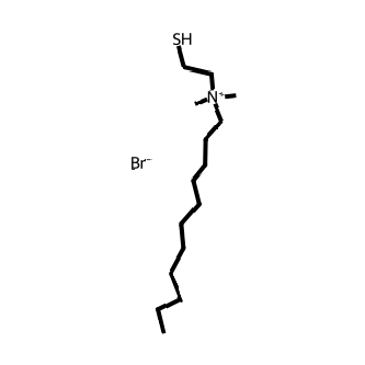 CCCCCCCCCCC[N+](C)(C)CCS.[Br-]